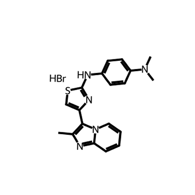 Br.Cc1nc2ccccn2c1-c1csc(Nc2ccc(N(C)C)cc2)n1